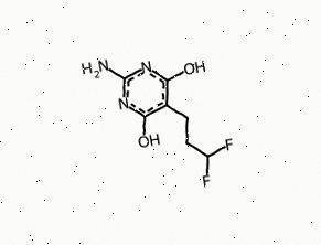 Nc1nc(O)c(CCC(F)F)c(O)n1